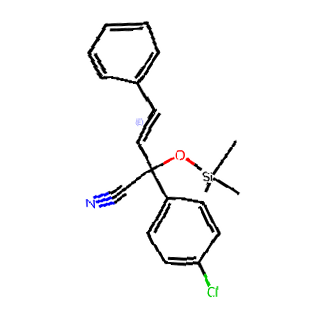 C[Si](C)(C)OC(C#N)(/C=C/c1ccccc1)c1ccc(Cl)cc1